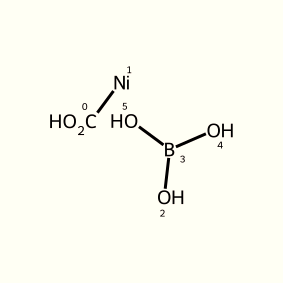 O=[C](O)[Ni].OB(O)O